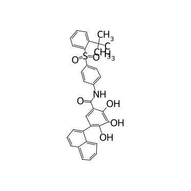 CC(C)(C)c1ccccc1S(=O)(=O)c1ccc(NC(=O)c2cc(-c3cccc4ccccc34)c(O)c(O)c2O)cc1